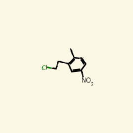 Cc1[c]cc([N+](=O)[O-])cc1CCCl